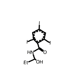 CCC(O)NC(=O)c1c(I)cc(I)cc1I